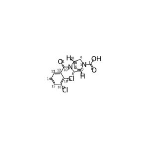 O=C(O)N1C[C@@H]2C[C@H]1CN2C(=O)c1cccc(Cl)c1Cl